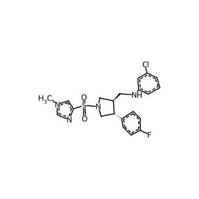 Cn1cnc(S(=O)(=O)N2C[C@@H](CNc3cccc(Cl)c3)[C@H](c3ccc(F)cc3)C2)c1